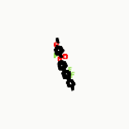 CCOc1ccc(C(=O)Oc2ccc(-c3ccc(C4CCC(C)CC4)c(F)c3F)cc2)c(F)c1